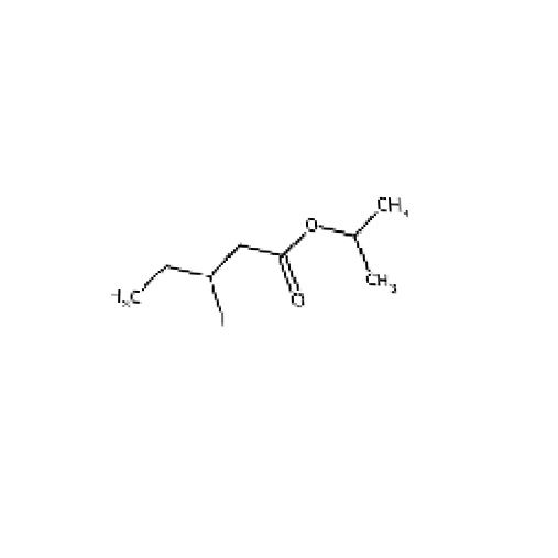 CCC(I)CC(=O)OC(C)C